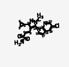 Cn1nc(C2CC2)c(C=CS(N)(=O)=O)c1-n1ccc2cc(Cl)cnc21